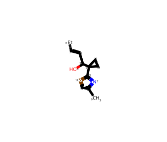 CC/C=C/C(O)C1(c2nc(C)cs2)CC1